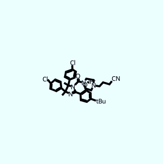 CC(C)Oc1cc(C(C)(C)C)ccc1C1=NC(C)(c2ccc(Cl)cc2)C(C)(c2ccc(Cl)cc2)N1C(=O)N1CCN(CCCC#N)CC1